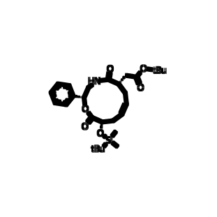 CC(C)(C)OC(=O)C[C@@H]1CC=CC[C@H](O[Si](C)(C)C(C)(C)C)C(=O)O[C@H](c2ccccc2)CNC1=O